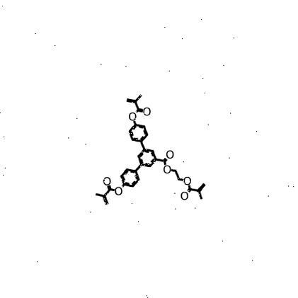 C=C(C)C(=O)OCCOC(=O)c1cc(-c2ccc(OC(=O)C(=C)C)cc2)cc(-c2ccc(OC(=O)C(=C)C)cc2)c1